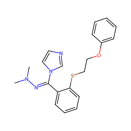 CN(C)N=C(c1ccccc1SCCOc1ccccc1)n1ccnc1